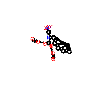 CC1(COCCCOc2cc(OCCCOCC3(C)COC3)cc(C3=NC(c4ccc([N+](=O)[O-])cc4)C4C3C3=C5CCC6=C7CCC8C9C7=C7C%10=C%11c%12c%13c%14c%15c%16c%12C(C3C%11C5C67)C4C%16CCC%15C3CCC8C(C9=C%10%13)C%143)c2)COC1